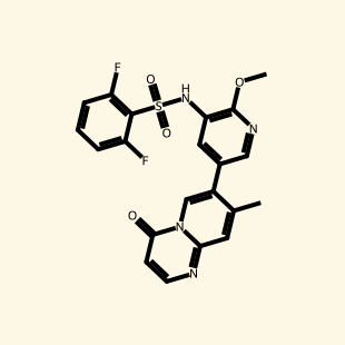 COc1ncc(-c2cn3c(=O)ccnc3cc2C)cc1NS(=O)(=O)c1c(F)cccc1F